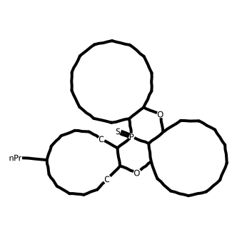 CCCC1CCCCCCC2OC3CCCCCCCCCCC4OC5CCCCCCCCCCCCC5P(=S)(C2CCCCC1)C43